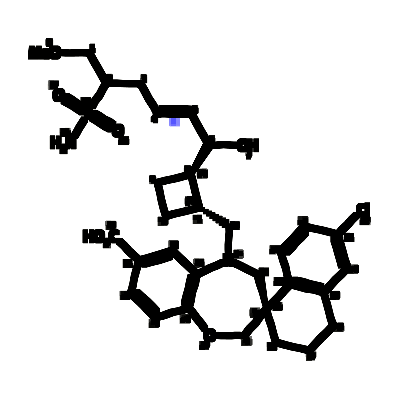 COCC(C/C=C/C(O)[C@@H]1CC[C@H]1CN1C[C@@]2(CCCc3cc(Cl)ccc32)COc2ccc(C(=O)O)cc21)S(N)(=O)=O